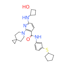 O=C(Nc1cccc(SC2CCCC2)c1)c1ccc(N[C@@H]2CC[C@H]2O)nc1N1CCC2(CC1)CC2